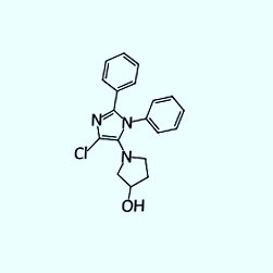 OC1CCN(c2c(Cl)nc(-c3ccccc3)n2-c2ccccc2)C1